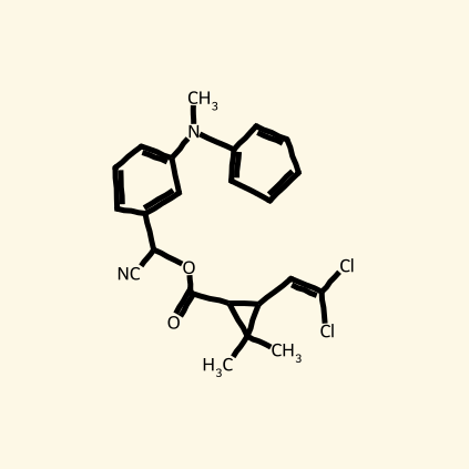 CN(c1ccccc1)c1cccc(C(C#N)OC(=O)C2C(C=C(Cl)Cl)C2(C)C)c1